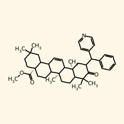 COC(=O)[C@@]12CCC3C(C=CC4[C@@]3(C)CCC3C(C)(C)C(=O)C(C(c5ccccc5)c5ccncc5)C[C@@]34C)C1CC(C)(C)CC2